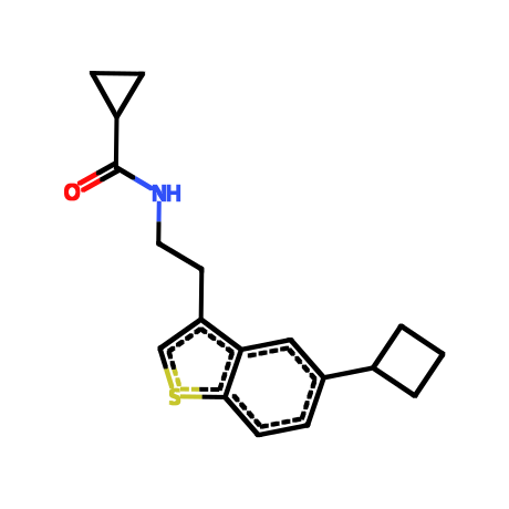 O=C(NCCc1csc2ccc(C3CCC3)cc12)C1CC1